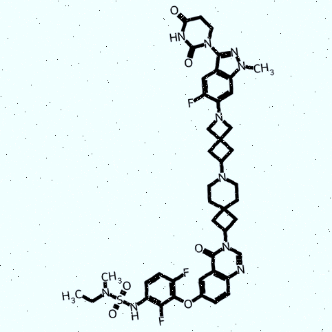 CCN(C)S(=O)(=O)Nc1ccc(F)c(Oc2ccc3ncn(C4CC5(CCN(C6CC7(C6)CN(c6cc8c(cc6F)c(N6CCC(=O)NC6=O)nn8C)C7)CC5)C4)c(=O)c3c2)c1F